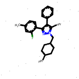 CCCc1c(-c2ccccc2)c(-c2ccc(C)cc2F)nn1CC1CCC(CCC)CC1